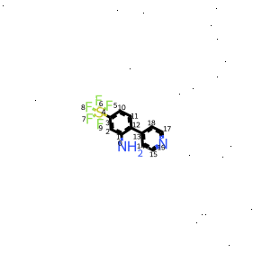 Nc1cc(S(F)(F)(F)(F)F)ccc1-c1ccncc1